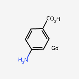 Nc1ccc(C(=O)O)cc1.[Gd]